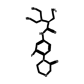 CC(C)(C)CN(CC(C)(C)C)[C@@H](CN)C(=O)Nc1ccc(N2CCOCC2=O)c(F)c1